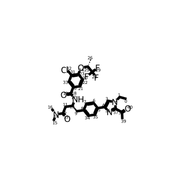 CCn1cc(-c2ccc(C[C@@H](CC(=O)N(C)C)NC(=O)c3ccc(O[C@H](C)C(F)(F)F)c(Cl)c3)cc2)nc1C(C)=O